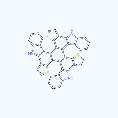 c1ccc2c(c1)[nH]c1c3ccsc3c3c(c21)c1c2sccc2c2[nH]c4ccccc4c2c1c1c2sccc2c2[nH]c4ccccc4c2c31